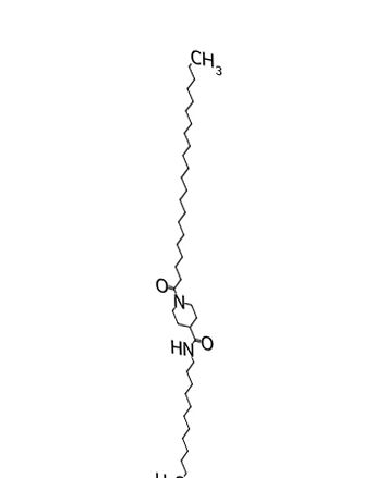 CCCCCCCCCCCCCCCCCCCCCC(=O)N1CCC(C(=O)NCCCCCCCCCCCC)CC1